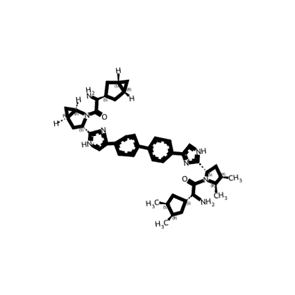 C[C@@H]1C[C@@H](c2nc(-c3ccc(-c4ccc(-c5c[nH]c([C@@H]6C[C@H]7C[C@H]7N6C(=O)C(N)[C@H]6C[C@@H]7C[C@@H]7C6)n5)cc4)cc3)c[nH]2)N(C(=O)C(N)[C@@H]2C[C@@H](C)[C@@H](C)C2)[C@@H]1C